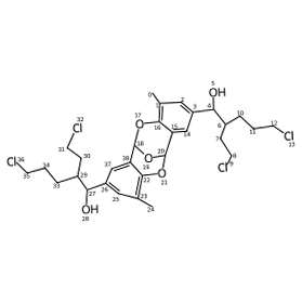 Cc1cc(C(O)C(CCCl)CCCCl)cc2c1OC1OC2Oc2c(C)cc(C(O)C(CCCl)CCCCl)cc21